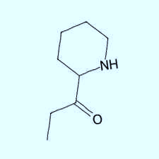 CCC(=O)C1CCCCN1